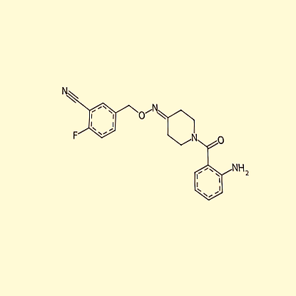 N#Cc1cc(CON=C2CCN(C(=O)c3ccccc3N)CC2)ccc1F